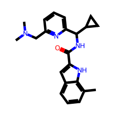 Cc1cccc2cc(C(=O)NC(c3cccc(CN(C)C)n3)C3CC3)[nH]c12